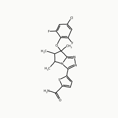 CC1C(C)C(C)(Oc2c(F)cc(Cl)cc2F)c2nnc(-c3ccc(C(N)=O)s3)n21